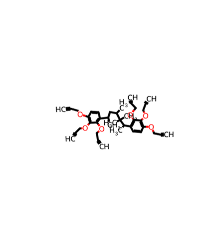 C#CCOc1ccc(C(C)CC(C)C(C)(C)C(C)c2ccc(OCC#C)c(OCC#C)c2OCC#C)c(OCC#C)c1OCC#C